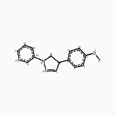 COc1ccc(C2C=NN(c3cccnc3)C2)cc1